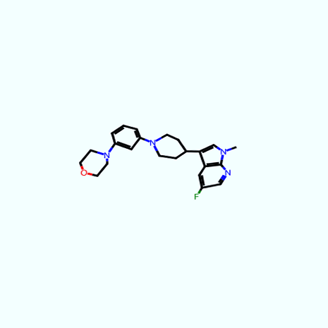 Cn1cc(C2CCN(c3cccc(N4CCOCC4)c3)CC2)c2cc(F)cnc21